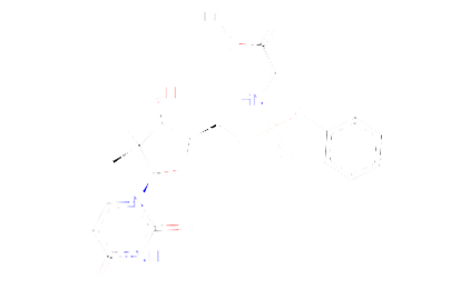 CC(C)OC(=O)[C@H](C)N[P@](=O)(OC[C@H]1O[C@@H](n2ccc(=O)[nH]c2=O)[C@](C)(F)C1O)Oc1ccccc1